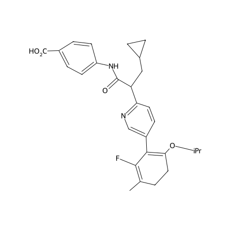 CC1=C(F)C(c2ccc(C(CC3CC3)C(=O)Nc3ccc(C(=O)O)cc3)nc2)=C(OC(C)C)CC1